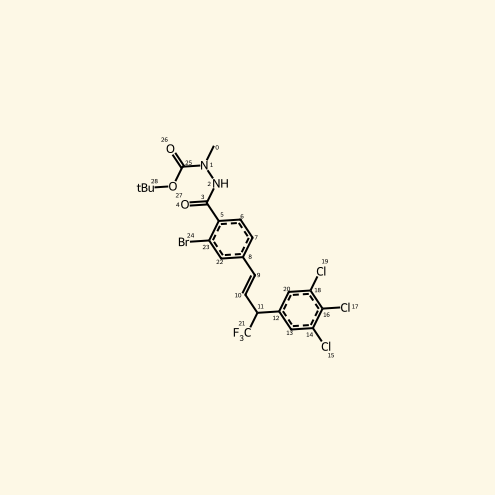 CN(NC(=O)c1ccc(C=CC(c2cc(Cl)c(Cl)c(Cl)c2)C(F)(F)F)cc1Br)C(=O)OC(C)(C)C